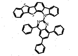 c1ccc(-c2cc(-c3ccccc3)c3nc(-n4c5ccccc5c5ccc6c7sc8ccccc8c7sc6c54)nc(-c4ccccc4)c3c2)cc1